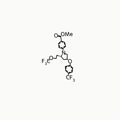 COC(=O)c1ccc(N2C[C@@H](Oc3ccc(C(F)(F)F)cc3)C[C@H]2CCOC(F)(F)F)cc1